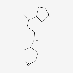 CC(CCC(C)(C)C1CCOCC1)C1CCOC1